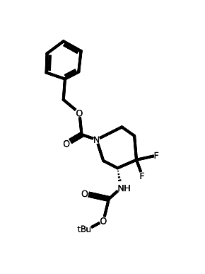 CC(C)(C)OC(=O)N[C@@H]1CN(C(=O)OCc2ccccc2)CCC1(F)F